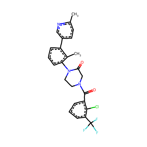 Cc1ccc(-c2cccc(N3CCN(C(=O)c4cccc(C(F)(F)F)c4Cl)CC3=O)c2C)cn1